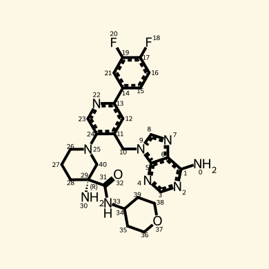 Nc1ncnc2c1ncn2Cc1cc(-c2ccc(F)c(F)c2)ncc1N1CCC[C@](N)(C(=O)NC2CCOCC2)C1